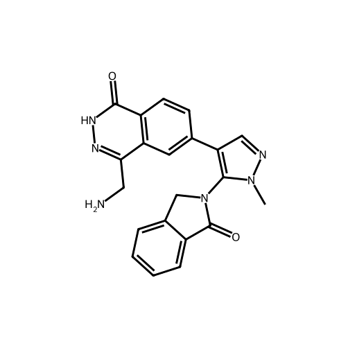 Cn1ncc(-c2ccc3c(=O)[nH]nc(CN)c3c2)c1N1Cc2ccccc2C1=O